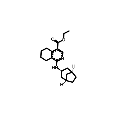 CCOC(=O)c1cnc(N[C@@H]2C[C@@H]3CC[C@@H](C3)C2)c2c1CCCC2